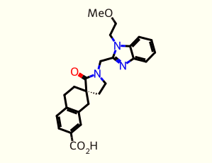 COCCn1c(CN2CC[C@]3(CCc4ccc(C(=O)O)cc4C3)C2=O)nc2ccccc21